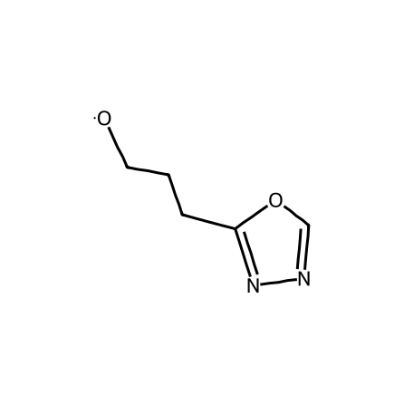 [O]CCCc1nnco1